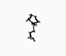 C=CCn1ccnn1